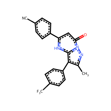 Cc1nn2c(=O)cc(-c3ccc(C#N)cc3)[nH]c2c1-c1ccc(C(F)(F)F)cc1